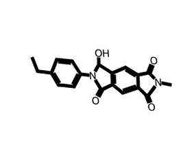 CCc1ccc(N2C(=O)c3cc4c(cc3C2O)C(=O)N(C)C4=O)cc1